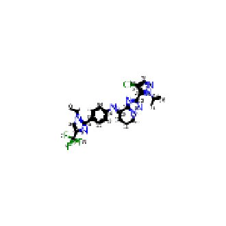 CCn1cc(C(F)(F)F)nc1-c1ccc(/N=C2\CCCn3nc(-c4c(Cl)cnn4C(C)C)nc32)cc1